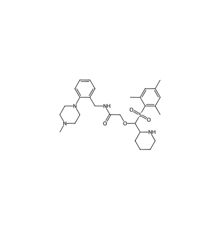 Cc1cc(C)c(S(=O)(=O)C(OCC(=O)NCc2ccccc2N2CCN(C)CC2)C2CCCCN2)c(C)c1